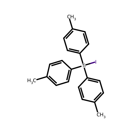 Cc1cc[c]([Ti]([I])([c]2ccc(C)cc2)[c]2ccc(C)cc2)cc1